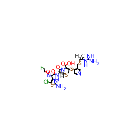 CC(CSCc1cnccc1SC1=C(C(=O)O)N2C(=O)[C@@H](NC(=O)/C(=N\OCCF)c3nc(N)sc3Cl)[C@@H]2SC1)NC(=N)N